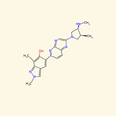 CN[C@@H]1CN(c2cnc3nc(-c4cc5cn(C)nc5c(C)c4O)ccc3n2)C[C@@H]1C